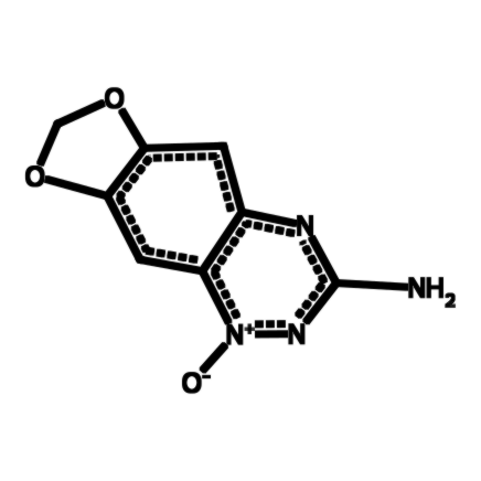 Nc1nc2cc3c(cc2[n+]([O-])n1)OCO3